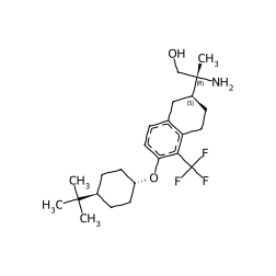 CC(C)(C)[C@H]1CC[C@H](Oc2ccc3c(c2C(F)(F)F)CC[C@H]([C@@](C)(N)CO)C3)CC1